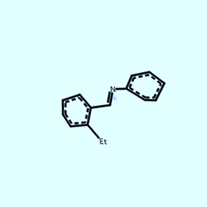 CCc1ccccc1/C=N/c1ccccc1